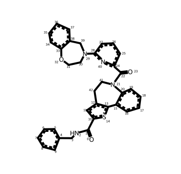 O=C(NCc1ccccc1)c1cc2c(s1)-c1ccccc1N(C(=O)c1cccc(N3CCOc4ccccc4C3)n1)CC2